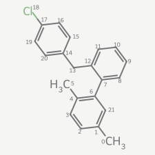 Cc1ccc(C)c(-c2ccccc2Cc2ccc(Cl)cc2)c1